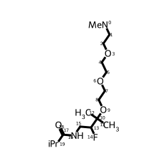 CNCCOCCOCCOC(C)(C)C(F)CNC(=O)C(C)C